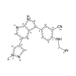 CC(C)CNc1ccc(-c2c[nH]c3ncc(-c4cnn(C)c4)cc23)cc1C#N